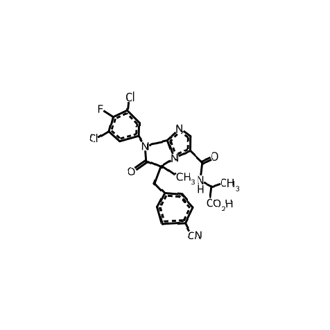 CC(NC(=O)c1cnc2n1C(C)(Cc1ccc(C#N)cc1)C(=O)N2c1cc(Cl)c(F)c(Cl)c1)C(=O)O